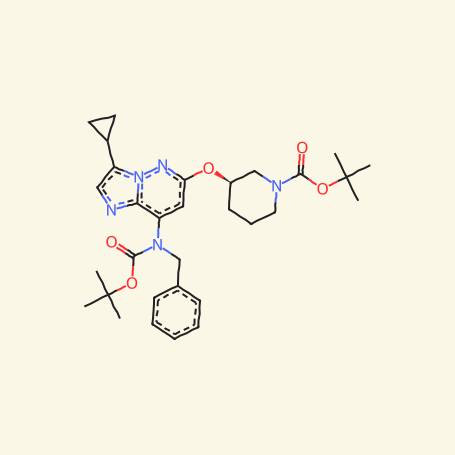 CC(C)(C)OC(=O)N1CCC[C@@H](Oc2cc(N(Cc3ccccc3)C(=O)OC(C)(C)C)c3ncc(C4CC4)n3n2)C1